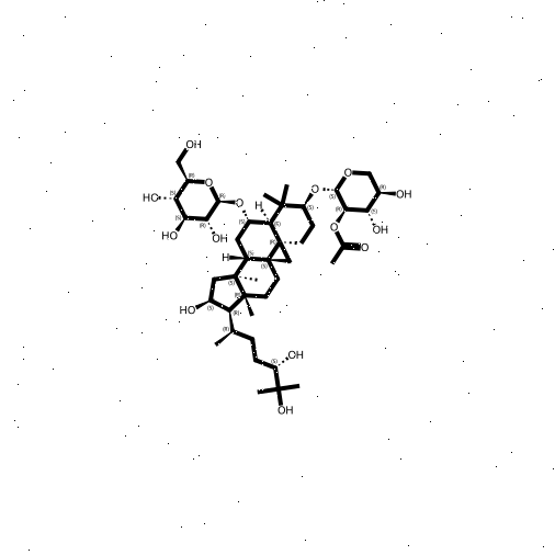 CC(=O)O[C@H]1[C@H](O[C@H]2CC[C@]34C[C@]35CC[C@]3(C)[C@@H]([C@H](C)CC[C@H](O)C(C)(C)O)[C@@H](O)C[C@@]3(C)[C@@H]5C[C@H](O[C@@H]3O[C@H](CO)[C@@H](O)[C@H](O)[C@H]3O)[C@H]4C2(C)C)OC[C@@H](O)[C@@H]1O